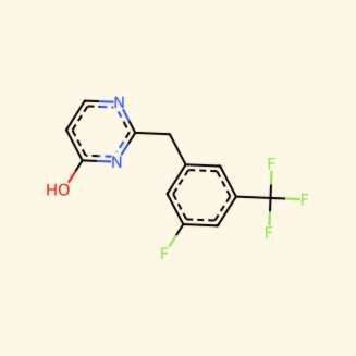 Oc1ccnc(Cc2cc(F)cc(C(F)(F)F)c2)n1